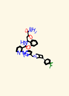 NC(=O)C(=O)CC(NC(=O)c1cccnc1-n1ccc(CN2CC3C[C@@H](c4ccc(F)cc4)C3C2)n1)c1ccccc1